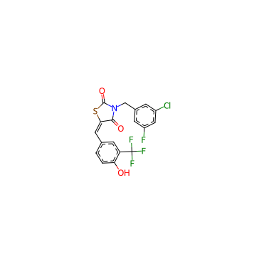 O=C1SC(=Cc2ccc(O)c(C(F)(F)F)c2)C(=O)N1Cc1cc(F)cc(Cl)c1